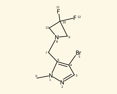 Cn1ncc(Br)c1CN1CC(F)(F)C1